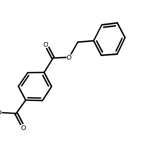 O=C(O)c1ccc(C(=O)OCc2ccccc2)cc1